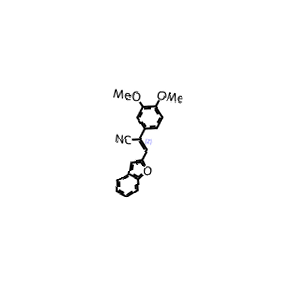 COc1ccc(/C(C#N)=C/c2cc3ccccc3o2)cc1OC